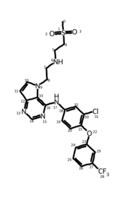 CS(=O)(=O)CCNCCn1ccc2ncnc(Nc3ccc(Oc4cccc(C(F)(F)F)c4)c(Cl)c3)c21